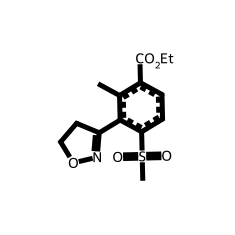 CCOC(=O)c1ccc(S(C)(=O)=O)c(C2=NOCC2)c1C